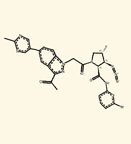 CC(=O)c1nn(CC(=O)N2C[C@H](F)[C@@H](N=[N+]=[N-])[C@H]2C(=O)Nc2cccc(Br)n2)c2ccc(-c3cnc(C)nc3)cc12